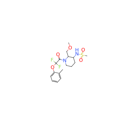 COCC1C(NS(C)(=O)=O)CCCN1C(=O)C(F)(F)Oc1ccccc1C